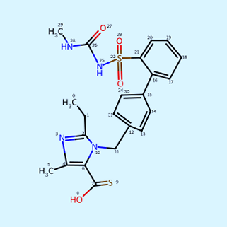 CCc1nc(C)c(C(O)=S)n1Cc1ccc(-c2ccccc2S(=O)(=O)NC(=O)NC)cc1